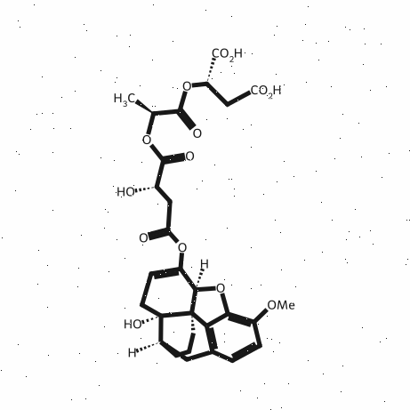 COc1ccc2c3c1O[C@@H]1C(OC(=O)C[C@H](O)C(=O)O[C@@H](C)C(=O)O[C@@H](CC(=O)O)C(=O)O)=CC[C@]4(O)[C@@H](CCC[C@@]314)C2